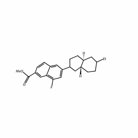 CCC1CC[C@@H]2CC(c3cc(F)c4cc(C(=O)OC)ccc4c3)CC[C@H]2C1